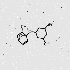 CC1CC(OC23C=CC(CC2C)O3)CC(C(C)C)C1